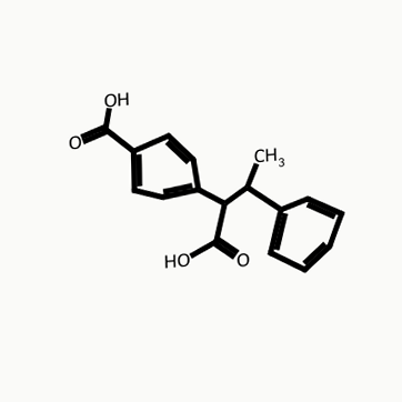 CC(c1ccccc1)C(C(=O)O)c1ccc(C(=O)O)cc1